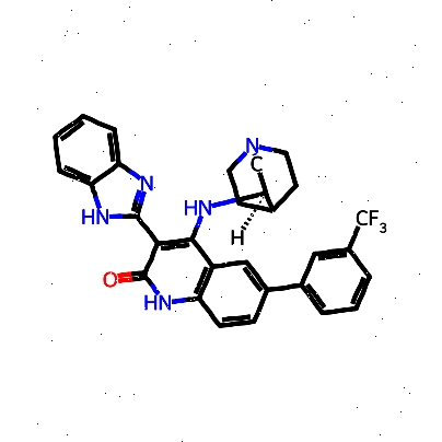 O=c1[nH]c2ccc(-c3cccc(C(F)(F)F)c3)cc2c(N[C@H]2CN3CCC2CC3)c1-c1nc2ccccc2[nH]1